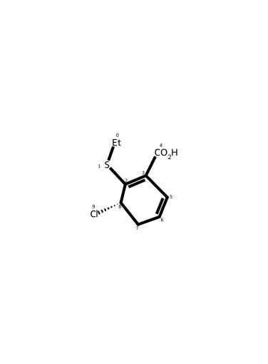 CCSC1=C(C(=O)O)C=CC[C@@H]1Cl